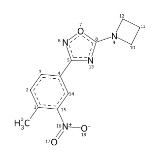 Cc1ccc(-c2noc(N3CCC3)n2)cc1[N+](=O)[O-]